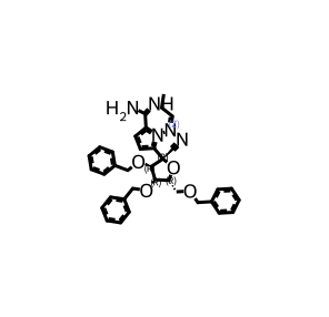 CC/C=N\n1c(C(=N)N)ccc1[C@]1(C#N)O[C@H](COCc2ccccc2)[C@@H](OCc2ccccc2)[C@H]1OCc1ccccc1